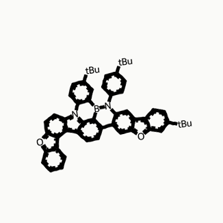 CC(C)(C)c1ccc(N2B3c4cc(C(C)(C)C)ccc4-n4c5ccc6oc7ccccc7c6c5c5ccc(c3c54)-c3cc4oc5cc(C(C)(C)C)ccc5c4cc32)cc1